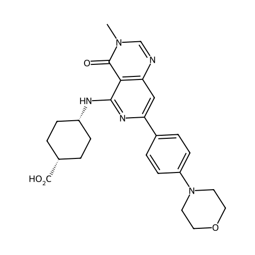 Cn1cnc2cc(-c3ccc(N4CCOCC4)cc3)nc(N[C@H]3CC[C@@H](C(=O)O)CC3)c2c1=O